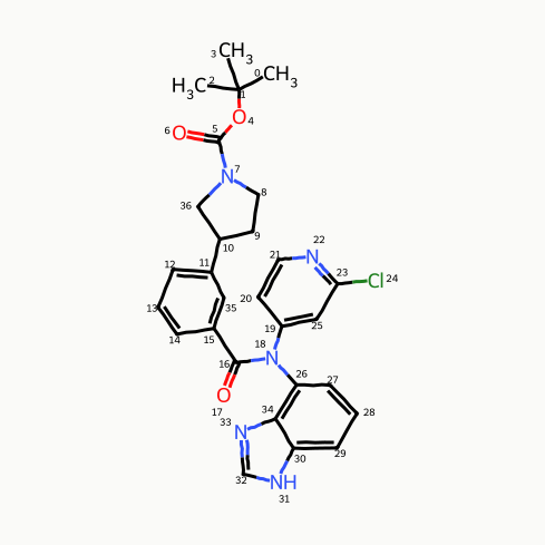 CC(C)(C)OC(=O)N1CCC(c2cccc(C(=O)N(c3ccnc(Cl)c3)c3cccc4[nH]cnc34)c2)C1